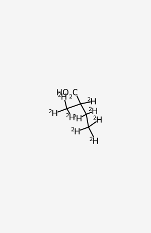 [2H]C([2H])([2H])C([2H])([2H])C([2H])(C(=O)O)C([2H])([2H])[2H]